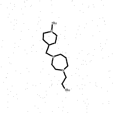 CC(C)(C)CCN1CCCN(CC2CCN(C(C)(C)C)CC2)CC1